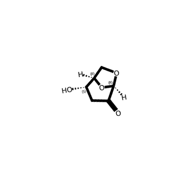 O=C1C[C@H](O)[C@H]2CO[C@@H]1O2